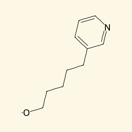 [O]CCCCCc1cccnc1